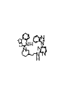 COc1ccccc1NC(=O)N1CCCC(CCNc2nccc(-n3cnc4ccccc43)n2)C1